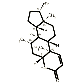 CCC[C@H]1CC[C@H]2[C@@H]3[C@@H](C)C[C@H]4NC(=O)C=C[C@]4(C)[C@H]3CC[C@]12C